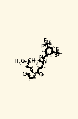 CN(C)CCN1C(=O)CCN1C(=O)C=Cn1cnc(-c2cc(C(F)(F)F)cc(C(F)(F)F)c2)n1